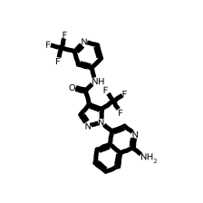 Nc1ncc(-n2ncc(C(=O)Nc3ccnc(C(F)(F)F)c3)c2C(F)(F)F)c2ccccc12